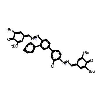 CC(C)(C)C1=CC(=C/N=N/c2ccc(-c3ccc(/N=N/C=C4C=C(C(C)(C)C)C(=O)C(C(C)(C)C)=C4)c(-c4ccccc4)c3)cc2Cl)C=C(C(C)(C)C)C1=O